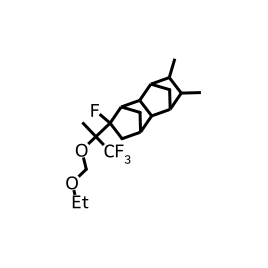 CCOCOC(C)(C(F)(F)F)C1(F)CC2CC1C1C3CC(C(C)C3C)C21